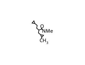 CNC(=O)C(CCC1CC1)CC1CC1C